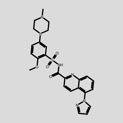 COc1ccc(N2CCN(C)CC2)cc1S(=O)(=O)NC(=O)c1ccc2c(-n3cccn3)cccc2n1